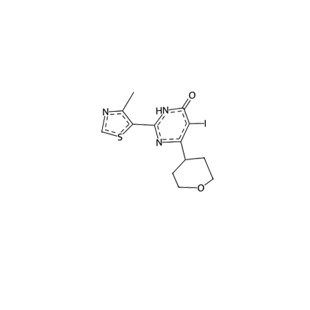 Cc1ncsc1-c1nc(C2CCOCC2)c(I)c(=O)[nH]1